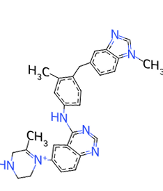 CC1=[N+](c2ccc3ncnc(Nc4ccc(Cc5ccc6c(c5)ncn6C)c(C)c4)c3c2)CCNC1